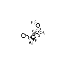 Cc1ccc(OC(C)(C)C(=O)NC2C[C@@]3(OCc4ccccc4)CC=C2[C@H](C)C3)cc1